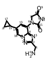 NCc1nc2c(N3CC(=O)NC3=O)cc(C3CC3)cn2n1